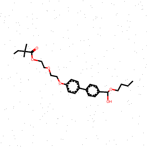 CCCCOC(O)c1ccc(-c2ccc(OCCOCCOC(=O)C(C)(C)CC)cc2)cc1